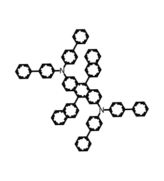 c1ccc(-c2ccc(N(c3ccc(-c4ccccc4)cc3)c3ccc4c(-c5ccc6ccccc6c5)c5cc(N(c6ccc(-c7ccccc7)cc6)c6ccc(-c7ccccc7)cc6)ccc5c(-c5ccc6ccccc6c5)c4c3)cc2)cc1